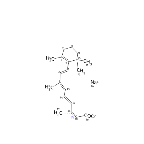 CC(C=CC1=C(C)CCCC1(C)C)=CC=C/C(C)=C\C(=O)[O-].[Na+]